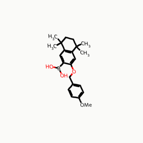 COc1ccc(COc2cc3c(cc2B(O)O)C(C)(C)CCC3(C)C)cc1